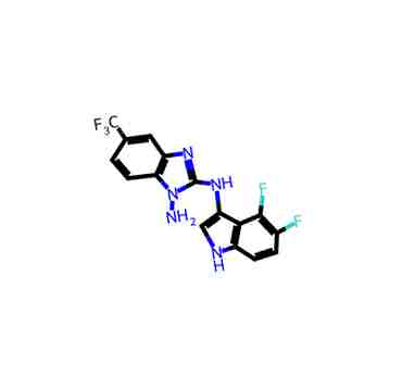 Nn1c(Nc2c[nH]c3ccc(F)c(F)c23)nc2cc(C(F)(F)F)ccc21